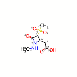 CNN1C(=O)[C@H](S(C)(=O)=O)[C@H]1CC(=O)O